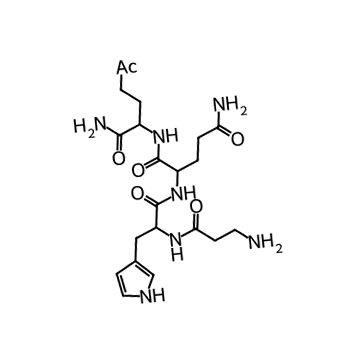 CC(=O)CCC(NC(=O)C(CCC(N)=O)NC(=O)C(Cc1cc[nH]c1)NC(=O)CCN)C(N)=O